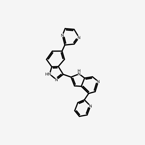 c1ccc(-c2cncc3[nH]c(-c4n[nH]c5ccc(-c6cnccn6)cc45)cc23)nc1